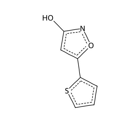 Oc1cc(-c2cccs2)on1